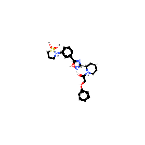 O=C(COc1ccccc1)N1CCCC[C@@H]1c1noc(-c2cccc(N3CCCS3(=O)=O)c2)n1